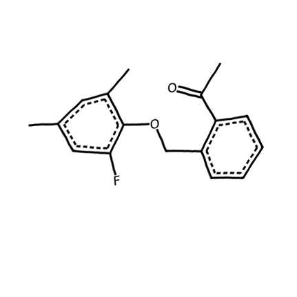 CC(=O)c1ccccc1COc1c(C)cc(C)cc1F